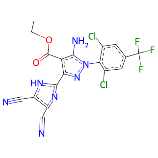 CCOC(=O)c1c(-c2nc(C#N)c(C#N)[nH]2)nn(-c2c(Cl)cc(C(F)(F)F)cc2Cl)c1N